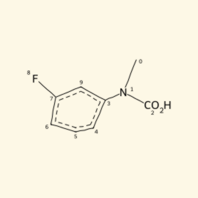 CN(C(=O)O)c1cccc(F)c1